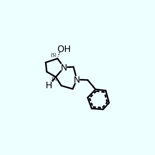 O[C@H]1CC[C@H]2CCN(Cc3ccccc3)CN21